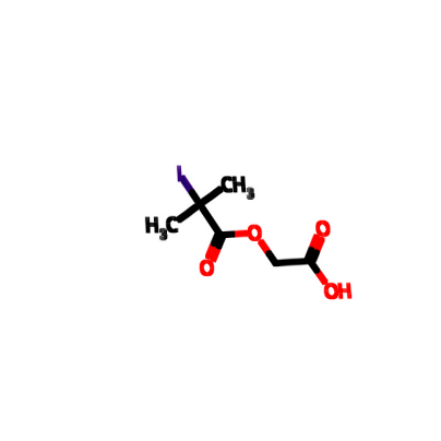 CC(C)(I)C(=O)OCC(=O)O